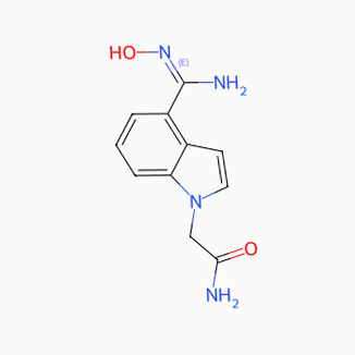 NC(=O)Cn1ccc2c(/C(N)=N\O)cccc21